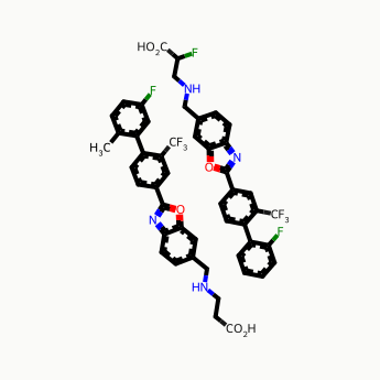 Cc1ccc(F)cc1-c1ccc(-c2nc3ccc(CNCCC(=O)O)cc3o2)cc1C(F)(F)F.O=C(O)C(F)CNCc1ccc2nc(-c3ccc(-c4ccccc4F)c(C(F)(F)F)c3)oc2c1